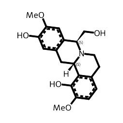 COc1cc2c(cc1O)C[C@H]1c3c(ccc(OC)c3O)CCN1[C@@H]2CO